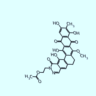 COc1c2c(c(O)c3c1C(=O)c1c(cc(O)c(C)c1O)C3=O)-c1c(cc3cnn(CCOC(C)=O)c(=O)c3c1O)CC2